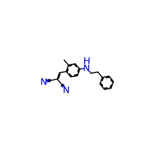 Cc1cc(NCCc2ccccc2)ccc1C=C(C#N)C#N